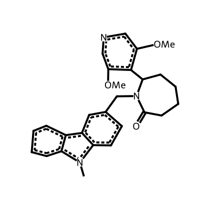 COc1cncc(OC)c1C1CCCCC(=O)N1Cc1ccc2c(c1)c1ccccc1n2C